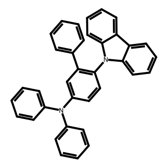 c1ccc(-c2cc(N(c3ccccc3)c3ccccc3)ccc2-n2c3ccccc3c3ccccc32)cc1